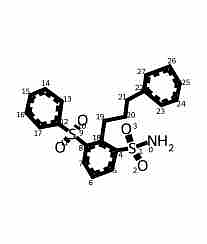 NS(=O)(=O)c1cccc(S(=O)(=O)c2ccccc2)c1CCCc1ccccc1